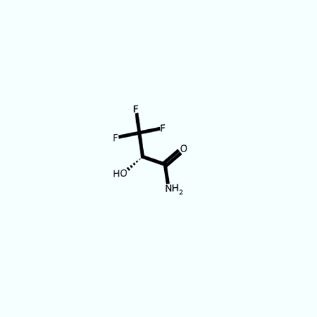 NC(=O)[C@H](O)C(F)(F)F